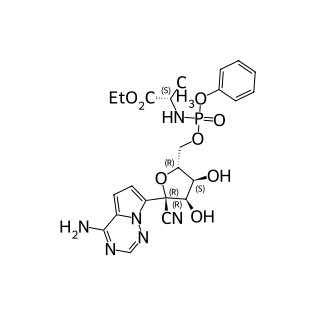 CCOC(=O)[C@H](C)NP(=O)(OC[C@H]1O[C@@](C#N)(c2ccc3c(N)ncnn23)[C@H](O)[C@@H]1O)Oc1ccccc1